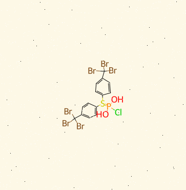 OP(O)(Cl)=S(c1ccc(C(Br)(Br)Br)cc1)c1ccc(C(Br)(Br)Br)cc1